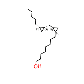 CCCCC[C@H]1C[C@H]1C[C@H]1C[C@H]1CCCCCCCCO